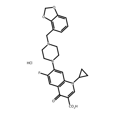 Cl.O=C(O)c1cn(C2CC2)c2cc(N3CCN(Cc4cccc5c4OCO5)CC3)c(F)cc2c1=O